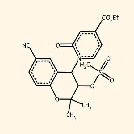 CCOC(=O)c1ccn(C2c3cc(C#N)ccc3OC(C)(C)C2OS(C)(=O)=O)c(=O)c1